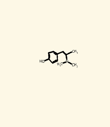 CC(Cc1ccc(O)cc1)N(C)C